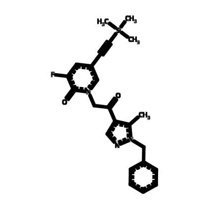 Cc1c(C(=O)Cn2cc(C#C[Si](C)(C)C)cc(F)c2=O)cnn1Cc1ccccc1